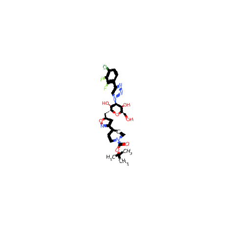 CC(C)(C)OC(=O)N1CCC(C2=NO[C@@H](C[C@H]3O[C@H](CO)[C@H](O)[C@H](n4cc(-c5ccc(Cl)c(F)c5F)nn4)[C@H]3O)C2)CC1